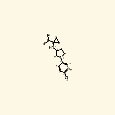 FC(F)C1(NC2CCN(c3ccc(Cl)nn3)C2)CC1